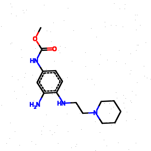 COC(=O)Nc1ccc(NCCN2CCCCC2)c(N)c1